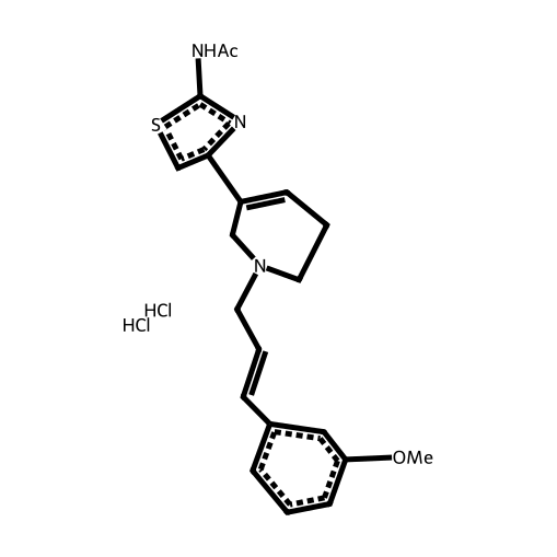 COc1cccc(C=CCN2CCC=C(c3csc(NC(C)=O)n3)C2)c1.Cl.Cl